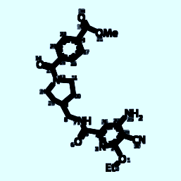 CCOc1nc(C(=O)NCC2CCN(C(=O)c3ccc(C(=O)OC)cc3)CC2)cc(N)c1C#N